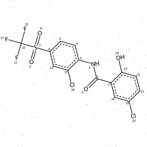 O=C(Nc1ccc(S(=O)(=O)C(F)(F)F)cc1Cl)c1cc(Cl)ccc1O